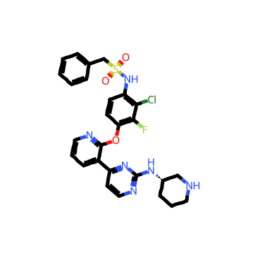 O=S(=O)(Cc1ccccc1)Nc1ccc(Oc2ncccc2-c2ccnc(N[C@H]3CCCNC3)n2)c(F)c1Cl